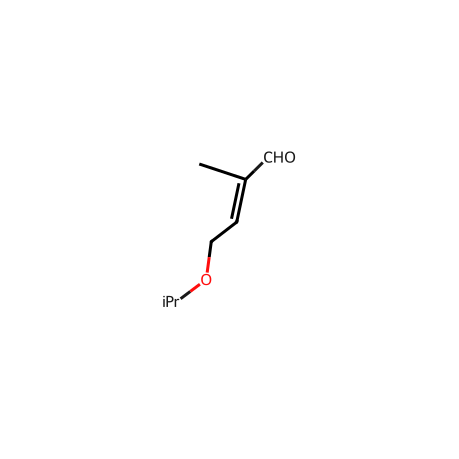 CC(C=O)=CCOC(C)C